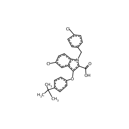 CC(C)(C)c1ccc(Oc2c(C(=O)O)n(Cc3ccc(Cl)cc3)c3ccc(Cl)cc23)cc1